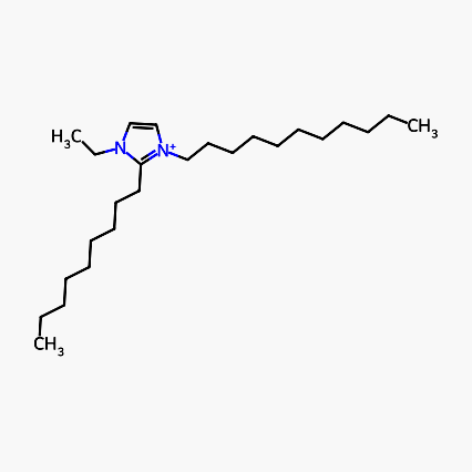 CCCCCCCCCCC[n+]1ccn(CC)c1CCCCCCCCC